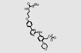 CC(C)(C)OC(=O)NCCCOc1ccc(-c2ccnc(Nc3ccc(N4CCOCC4)c(COS(C)(=O)=O)c3)n2)cc1